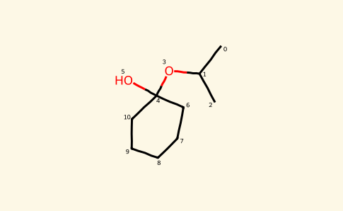 CC(C)OC1(O)CCCCC1